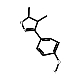 CC(C)Oc1ccc(C2=NOC(C)C2C)cc1